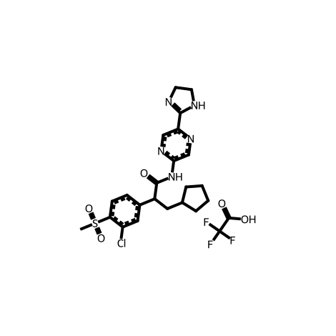 CS(=O)(=O)c1ccc(C(CC2CCCC2)C(=O)Nc2cnc(C3=NCCN3)cn2)cc1Cl.O=C(O)C(F)(F)F